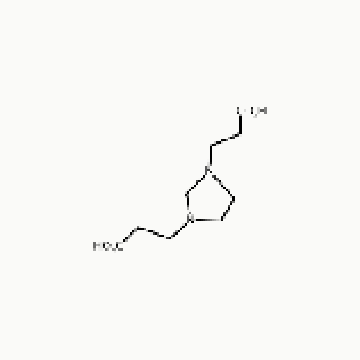 O=C(O)CCN1CCN(CCC(=O)O)C1